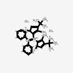 CC1=[C]([Hf+2]([C]2=C(C)C(C(C)(C)C)=CC2C)=[Ge]([c]2ccccc2)[c]2ccccc2)C(C)C=C1C(C)(C)C.[Cl-].[Cl-]